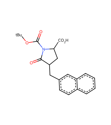 CC(C)(C)OC(=O)N1C(=O)C(Cc2ccc3ccccc3c2)CC1C(=O)O